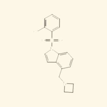 O=S(=O)(c1ccccc1Cl)n1ccc2c(CN3CCC3)cccc21